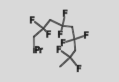 CC(C)CC(F)(F)CC(F)(F)CC(F)(F)CC(C)(F)F